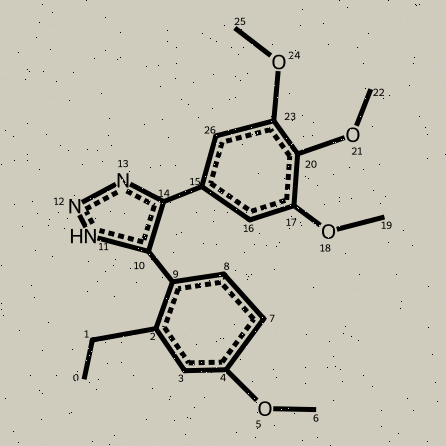 CCc1cc(OC)c[c]c1-c1[nH]nnc1-c1cc(OC)c(OC)c(OC)c1